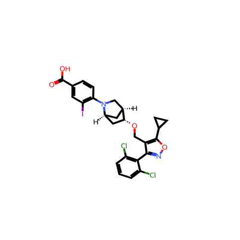 O=C(O)c1ccc(N2C[C@@H]3C[C@H]2C[C@H]3OCc2c(-c3c(Cl)cccc3Cl)noc2C2CC2)c(I)c1